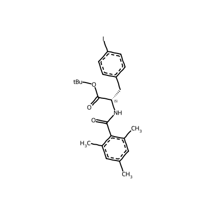 Cc1cc(C)c(C(=O)N[C@@H](Cc2ccc(I)cc2)C(=O)OC(C)(C)C)c(C)c1